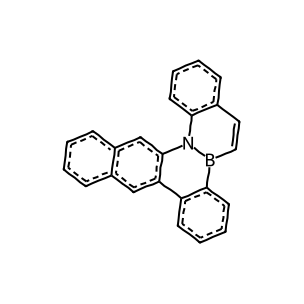 C1=Cc2ccccc2N2B1c1ccccc1-c1cc3ccccc3cc12